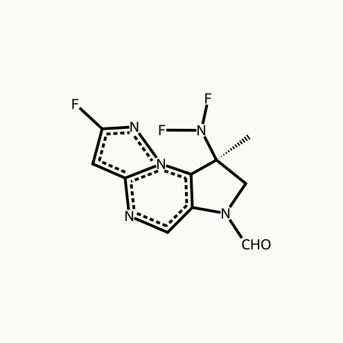 C[C@]1(N(F)F)CN(C=O)c2cnc3cc(F)nn3c21